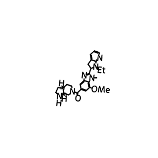 CCN1c2ncccc2CC1c1nc2cc(C(=O)N3CC[C@H]4CCN[C@H]4C3)cc(OC)c2n1C